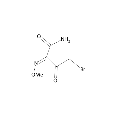 CON=C(C(N)=O)C(=O)CBr